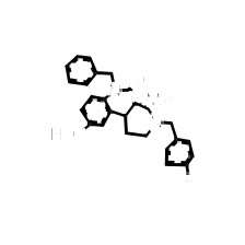 COC(=O)N(Cc1ccccc1)c1ccc(C)cc1C1CCN(Cc2ccc(F)cc2)CC1